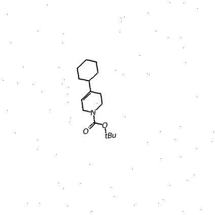 CC(C)(C)OC(=O)N1CC=C(C2CCCCC2)CC1